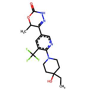 CCC1(O)CCN(c2ncc(C3=NNC(=O)OC3C)cc2C(F)(F)F)CC1